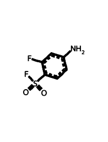 Nc1ccc(S(=O)(=O)F)c(F)c1